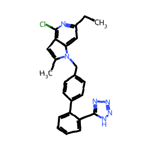 CCc1cc2c(cc(C)n2Cc2ccc(-c3ccccc3-c3nnn[nH]3)cc2)c(Cl)n1